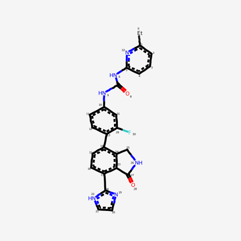 CCc1cccc(NC(=O)Nc2ccc(-c3ccc(-c4ncc[nH]4)c4c3CNC4=O)c(F)c2)n1